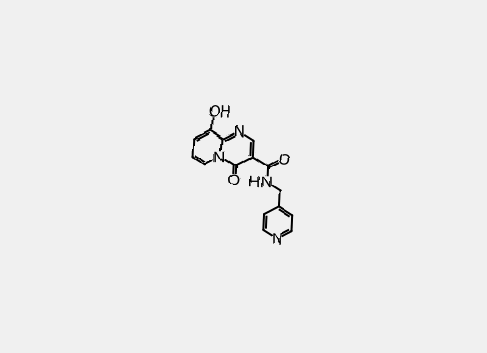 O=C(NCc1ccncc1)c1cnc2c(O)cccn2c1=O